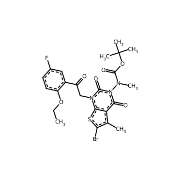 CCOc1ccc(F)cc1C(=O)Cn1c(=O)n(N(C)C(=O)OC(C)(C)C)c(=O)c2c(C)c(Br)sc21